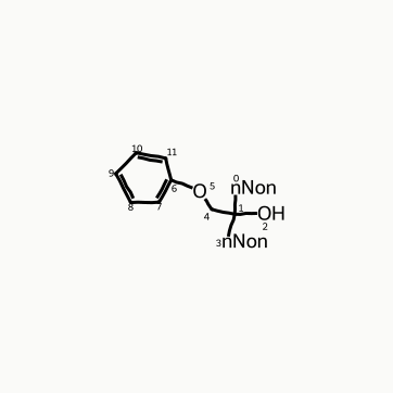 CCCCCCCCCC(O)(CCCCCCCCC)COc1ccccc1